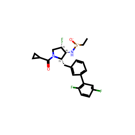 CC[S+]([O-])N[C@H]1[C@@H](F)CN(C(=O)C2CC2)[C@H]1Cc1cccc(-c2cc(F)ccc2F)c1